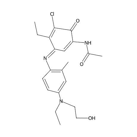 CCC1=C(Cl)C(=O)C(NC(C)=O)=CC1=Nc1ccc(N(CC)CCO)cc1C